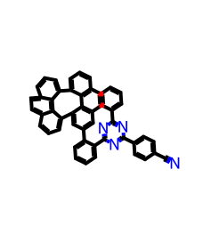 N#Cc1ccc(-c2nc(-c3ccccc3)nc(-c3ccccc3-c3cc4ccc5cccc6c7cccc8ccc9cccc(c(c3)c4c56)c9c87)n2)cc1